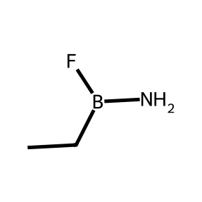 CCB(N)F